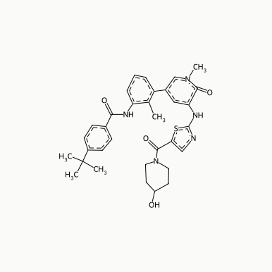 Cc1c(NC(=O)c2ccc(C(C)(C)C)cc2)cccc1-c1cc(Nc2ncc(C(=O)N3CCC(O)CC3)s2)c(=O)n(C)c1